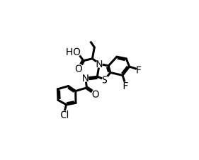 CCC(C(=O)O)n1/c(=N/C(=O)c2cccc(Cl)c2)sc2c(F)c(F)ccc21